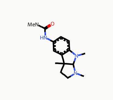 CNC(=O)Nc1ccc2c(c1)C1(C)CCN(C)C1N2C